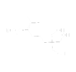 CCOC(=O)C(CCCC(CO)(CO)CO)=C(C)C